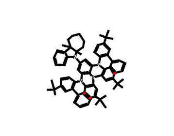 CC(C)(C)c1ccc2c(c1)B1c3cc(C(C)(C)C)ccc3N(c3ccc(C(C)(C)C)cc3-c3ccccc3)c3cc(N4c5ccccc5C5(C)CCCCCC45C)cc(c31)N2c1ccc(C(C)(C)C)cc1-c1ccccc1